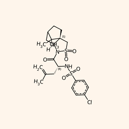 C=C(C)C[C@@H](NS(=O)(=O)c1ccc(Cl)cc1)C(=O)N1[C@H]2CC3CC[C@]2(CS1(=O)=O)C3(C)C